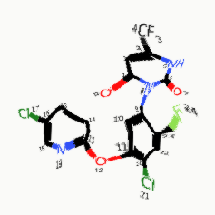 O=c1cc(C(F)(F)F)[nH]c(=O)n1-c1cc(Oc2ccc(Cl)cn2)c(Cl)cc1F